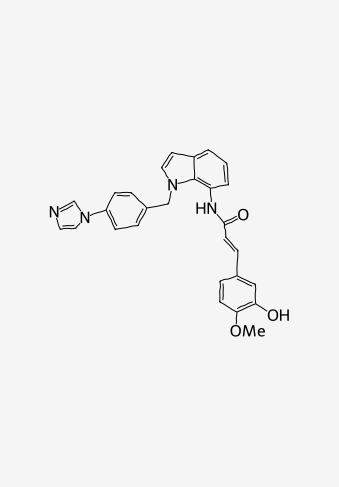 COc1ccc(C=CC(=O)Nc2cccc3ccn(Cc4ccc(-n5ccnc5)cc4)c23)cc1O